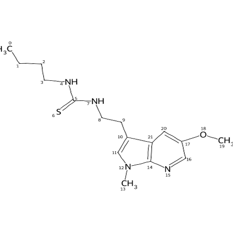 CCCCNC(=S)NCCc1cn(C)c2ncc(OC)cc12